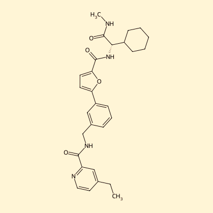 CCc1ccnc(C(=O)NCc2cccc(-c3ccc(C(=O)N[C@H](C(=O)NC)C4CCCCC4)o3)c2)c1